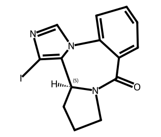 O=C1c2ccccc2-n2cnc(I)c2[C@@H]2CCCN12